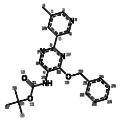 Cc1cncc(-c2ncc(NC(=O)OC(C)(C)C)c(OCc3ccccc3)n2)c1